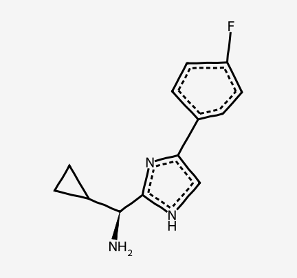 N[C@H](c1nc(-c2ccc(F)cc2)c[nH]1)C1CC1